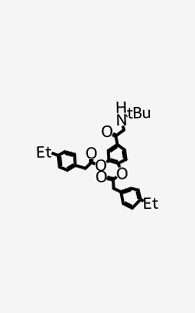 CCc1ccc(CC(=O)Oc2ccc(C(=O)CNC(C)(C)C)cc2OC(=O)Cc2ccc(CC)cc2)cc1